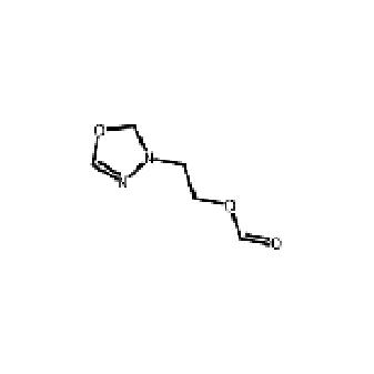 O=COCCN1COC=N1